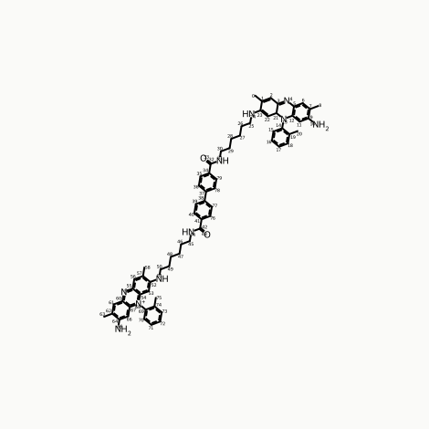 CC1=CC2=Nc3cc(C)c(N)cc3N(c3ccccc3C)C2C=C1NCCCCCCNC(=O)c1ccc(-c2ccc(C(=O)NCCCCCCNc3cc4c(cc3C)nc3cc(C)c(N)cc3[n+]4-c3ccccc3C)cc2)cc1